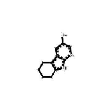 CC(C)(C)c1cnc2[nH]c3c(c2c1)CCCC3